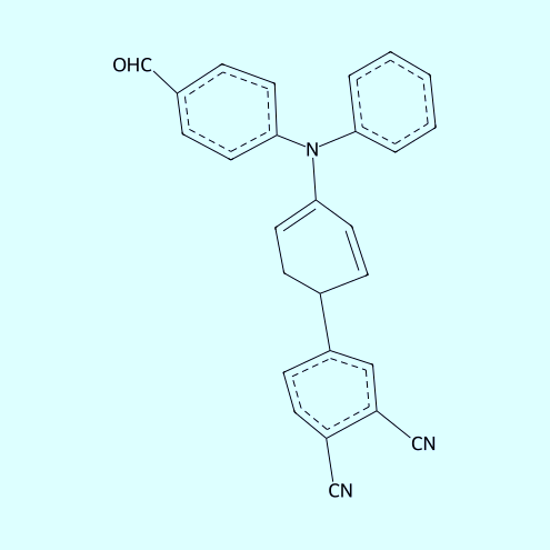 N#Cc1ccc(C2C=CC(N(c3ccccc3)c3ccc(C=O)cc3)=CC2)cc1C#N